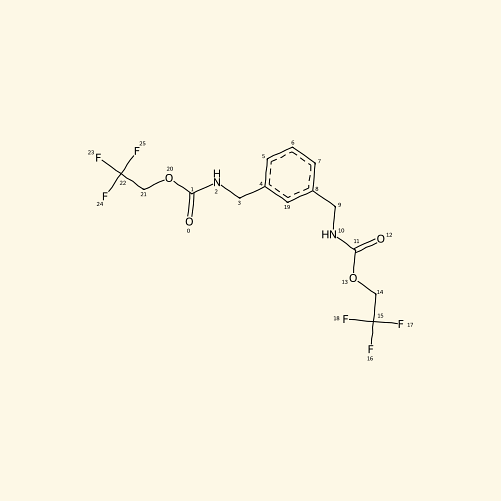 O=C(NCc1cccc(CNC(=O)OCC(F)(F)F)c1)OCC(F)(F)F